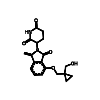 C=C1c2cccc(OCC3(CO)CC3)c2C(=O)N1C1CCC(=O)NC1=O